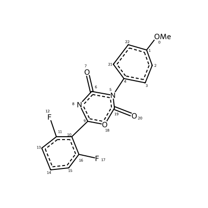 COc1ccc(-n2c(=O)nc(-c3c(F)cccc3F)oc2=O)cc1